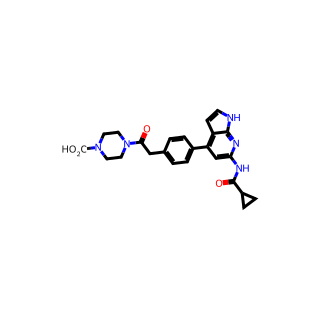 O=C(Nc1cc(-c2ccc(CC(=O)N3CCN(C(=O)O)CC3)cc2)c2cc[nH]c2n1)C1CC1